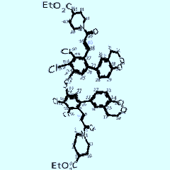 CCOC(=O)C1CCN(C(=O)/C=C/c2c(-c3ccc4c(c3)CCOO4)cc(Sc3cc(-c4ccc5c(c4)CCOO5)c(/C=C/C(=O)N4CCC(C(=O)OCC)CC4)c(Cl)c3Cl)c(Cl)c2Cl)CC1